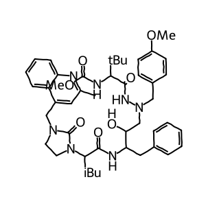 CCC(C)C(C(=O)NC(Cc1ccccc1)C(O)CN(Cc1ccc(OC)cc1)NC(=O)C(NC(=O)OC)C(C)(C)C)N1CCN(Cc2cc(C)nc3ccccc23)C1=O